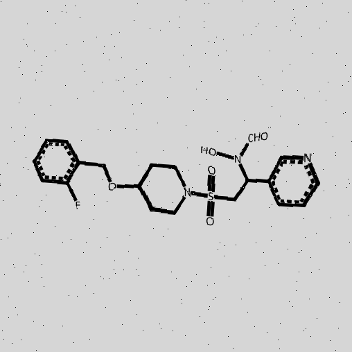 O=CN(O)C(CS(=O)(=O)N1CCC(OCc2ccccc2F)CC1)c1cccnc1